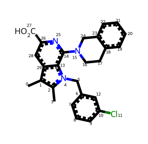 Cc1c(C)n(Cc2cccc(Cl)c2)c2c(N3CCc4ccccc4C3)nc(C(=O)O)cc12